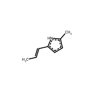 C/C=C/c1ccc(C)[nH]1